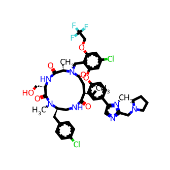 CC[C@@H]1CC(=O)N(Cc2c(OCC(F)(F)F)cc(Cl)cc2Oc2ccc(-c3cnc(CN4CCCC4)n3C)cc2)[C@@H](C)C(=O)N[C@@H](CO)C(=O)N(C)[C@H](Cc2ccc(Cl)cc2)CNC1=O